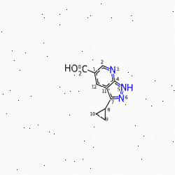 O=C(O)c1cnc2[nH]nc(C3CC3)c2c1